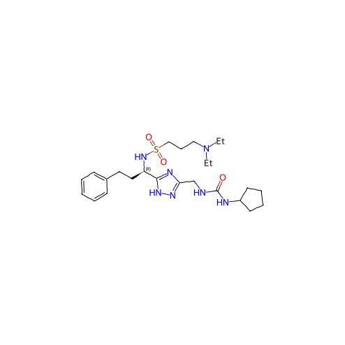 CCN(CC)CCCS(=O)(=O)N[C@H](CCc1ccccc1)c1nc(CNC(=O)NC2CCCC2)n[nH]1